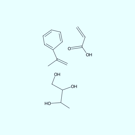 C=C(C)c1ccccc1.C=CC(=O)O.CC(O)C(O)CO